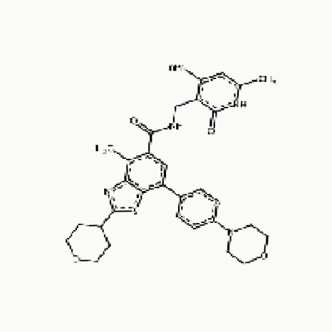 CCCc1cc(C)[nH]c(=O)c1CNC(=O)c1cc(-c2ccc(N3CCOCC3)nc2)c2sc(C3CCOCC3)nc2c1C